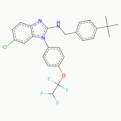 CC(C)(C)c1ccc(CNc2nc3ccc(Cl)cc3n2-c2ccc(OC(F)(F)C(F)F)cc2)cc1